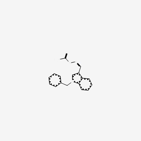 NC(=S)N/N=C\c1cn(Cc2ccccc2)c2ccccc12